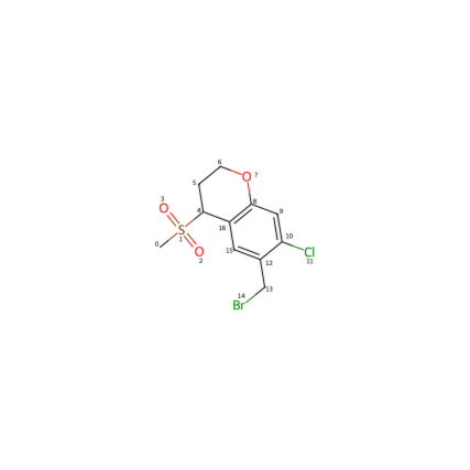 CS(=O)(=O)C1CCOc2cc(Cl)c(CBr)cc21